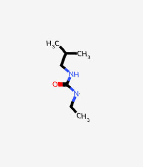 CC[N]C(=O)NCC(C)C